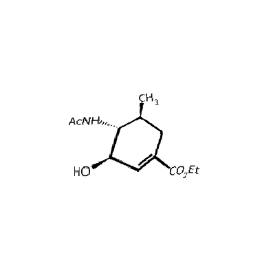 CCOC(=O)C1=C[C@@H](O)[C@H](NC(C)=O)[C@@H](C)C1